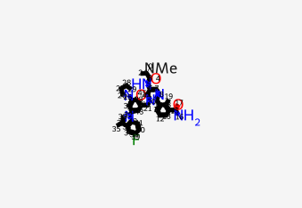 CN[C@@H](C)C(=O)Nc1cnc(-c2cccc(C(N)=O)c2C)n(Cc2cc(N3CCCC3)cc(-n3cc(C)c4cc(F)ccc43)c2)c1=O